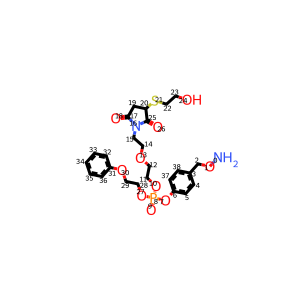 NOCc1ccc(OP(=O)(OCCOCCN2C(=O)CC(SCCO)C2=O)OCCOc2ccccc2)cc1